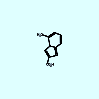 Cc1cccc2cc(C(=O)O)cn12